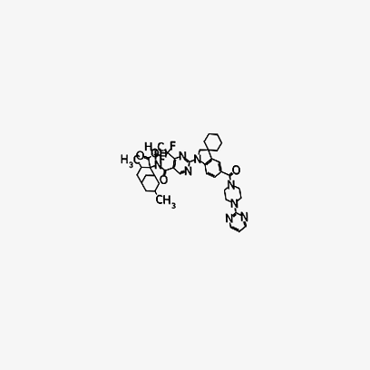 CC1CC2CC(C)C(NC(=O)c3cnc(N4CC5(CCCCC5)c5cc(C(=O)N6CCN(c7ncccn7)CC6)ccc54)nc3C(C)(F)F)(C(=O)O)C(C1)C2